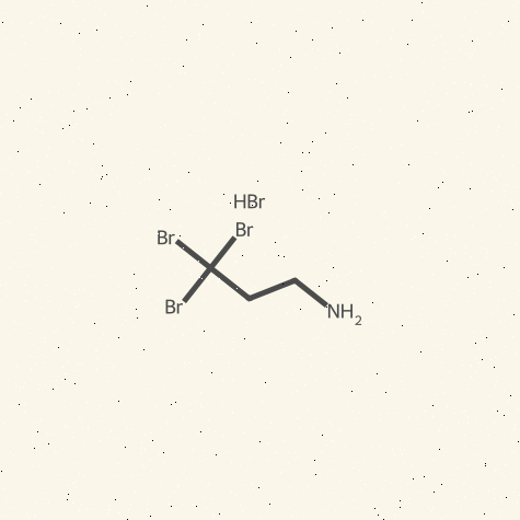 Br.NCCC(Br)(Br)Br